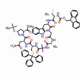 CC[C@H](C)[C@H](C)[C@H](NC(=O)OCC1c2ccccc2-c2ccccc21)C(=O)NC(Cc1c[nH]c2ccccc12)C(=O)NCC(=O)N[C@H](C(=O)NC(C)(C)C(=O)N[C@@H](CSC(c1ccccc1)(c1ccccc1)c1ccccc1)C(=O)N[C@@H](CC(N)=O)C(=O)N1C[C@H](O[Si](C)(C)C(C)(C)C)C[C@H]1C(=O)OC)[C@@H](C)CC